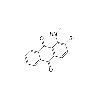 CNc1c(Br)ccc2c1C(=O)c1ccccc1C2=O